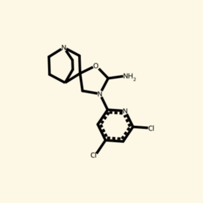 NC1OC2(CN3CCC2CC3)CN1c1cc(Cl)cc(Cl)n1